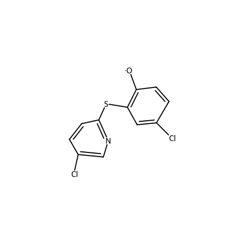 [O]c1ccc(Cl)cc1Sc1ccc(Cl)cn1